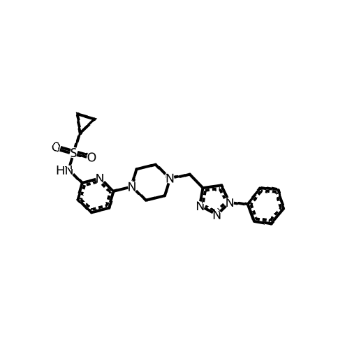 O=S(=O)(Nc1cccc(N2CCN(Cc3cn(-c4ccccc4)nn3)CC2)n1)C1CC1